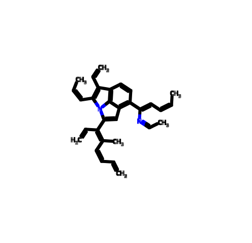 C=C/C=C\C(C)=C(/C=C)c1cc2c(C(=C/C=C\C)/N=C\C)ccc3c(C=C)c(/C=C\C)n1c23